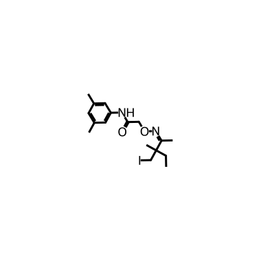 CCC(C)(CI)C(C)=NOCC(=O)Nc1cc(C)cc(C)c1